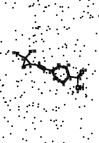 O=C(O)c1ccc(C#CC2CC2(F)F)cc1